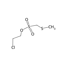 CSCS(=O)(=O)OCCCl